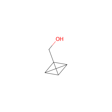 OCC12C3C1C32